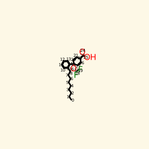 CCCCCCCCCc1ccccc1C1(OC(F)F)C=CC(C(=O)O)C=C1